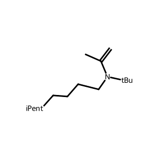 C=C(C)N(CCCCC(C)CCC)C(C)(C)C